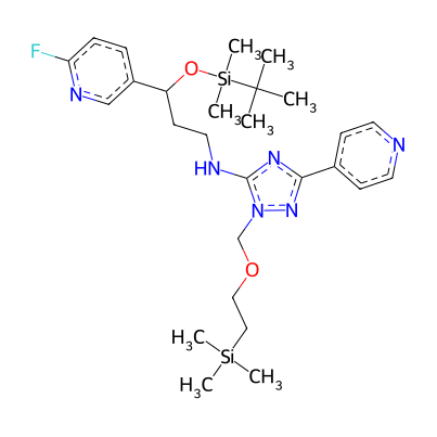 CC(C)(C)[Si](C)(C)OC(CCNc1nc(-c2ccncc2)nn1COCC[Si](C)(C)C)c1ccc(F)nc1